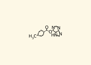 Cc1ccc(C(=O)Oc2ncnc3nc[nH]c23)cc1